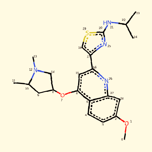 COc1ccc2c(OC3CC(C)N(C)C3)cc(-c3csc(NC(C)C)n3)nc2c1